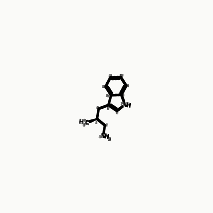 C[C@H](CN)Cc1c[nH]c2ccccc12